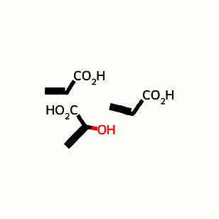 C=C(O)C(=O)O.C=CC(=O)O.C=CC(=O)O